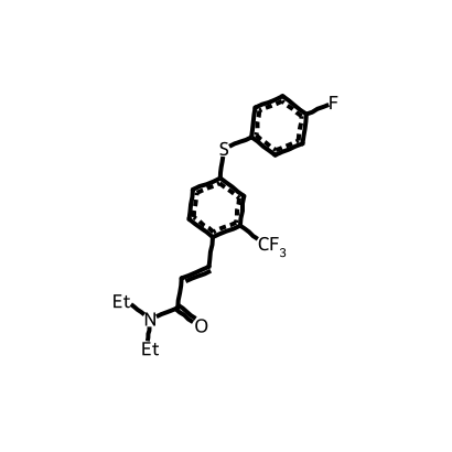 CCN(CC)C(=O)/C=C/c1ccc(Sc2ccc(F)cc2)cc1C(F)(F)F